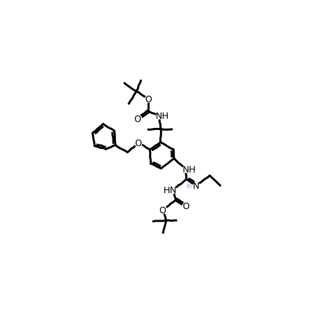 CC/N=C(/NC(=O)OC(C)(C)C)Nc1ccc(OCc2ccccc2)c(C(C)(C)NC(=O)OC(C)(C)C)c1